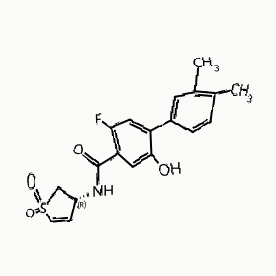 Cc1ccc(-c2cc(F)c(C(=O)N[C@@H]3C=CS(=O)(=O)C3)cc2O)cc1C